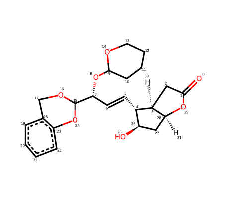 O=C1C[C@@H]2[C@@H](/C=C/[C@@H](OC3CCCCO3)C3OCc4ccccc4O3)[C@H](O)C[C@@H]2O1